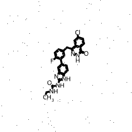 CCNC(=O)Nc1nc2cc(-c3cc(Cc4n[nH]c(=O)c5ccc(Cl)cc45)ccc3F)ccc2[nH]1